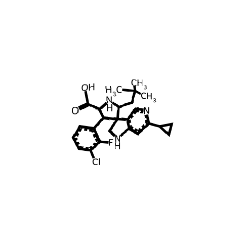 CC(C)(C)CC1NC(C(=O)O)C(c2cccc(Cl)c2F)C12CNc1cc(C3CC3)ncc12